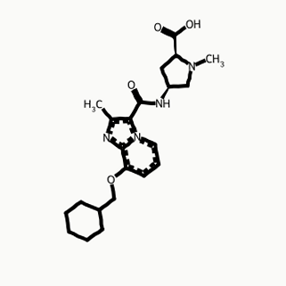 Cc1nc2c(OCC3CCCCC3)cccn2c1C(=O)N[C@H]1C[C@@H](C(=O)O)N(C)C1